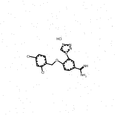 Cl.N=C(N)c1ccc(OCc2ccc(Cl)cc2Cl)c(-n2cnnn2)c1